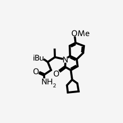 CCC(C)C(CC(N)=O)C(C)n1c(=O)c(C2CCCC2)cc2ccc(OC)cc21